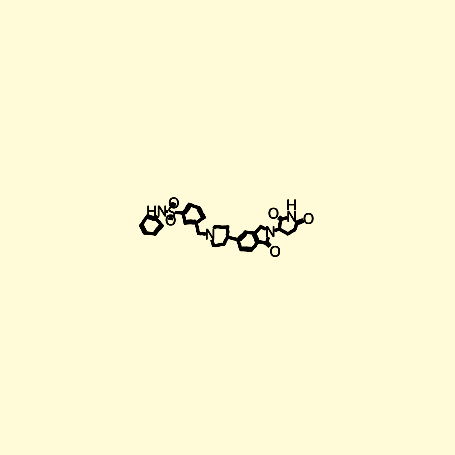 O=C1CCC(N2Cc3cc(C4CCN(Cc5cccc(S(=O)(=O)Nc6ccccc6)c5)CC4)ccc3C2=O)C(=O)N1